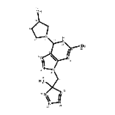 CC1(Cn2nnc3c2N=C(C(C)(C)C)NC3N2CCC(O)C2)N=NN=N1